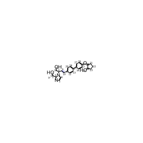 C[C@H](O)c1nccn1C(/C=C/c1ccc(-c2ccc(O[C@@H]3CCC[C@H]3O)cc2)cc1)CO